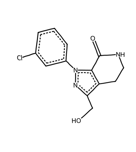 O=C1NCCc2c(CO)nn(-c3cccc(Cl)c3)c21